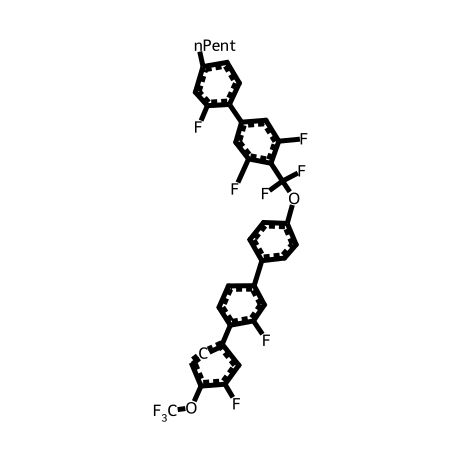 CCCCCc1ccc(-c2cc(F)c(C(F)(F)Oc3ccc(-c4ccc(-c5ccc(OC(F)(F)F)c(F)c5)c(F)c4)cc3)c(F)c2)c(F)c1